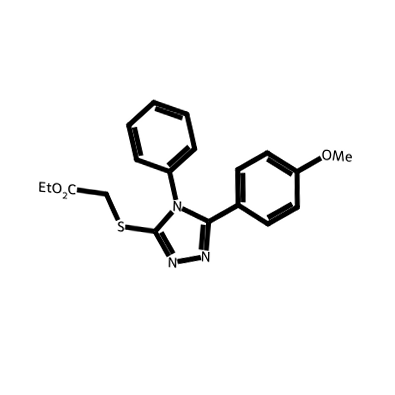 CCOC(=O)CSc1nnc(-c2ccc(OC)cc2)n1-c1ccccc1